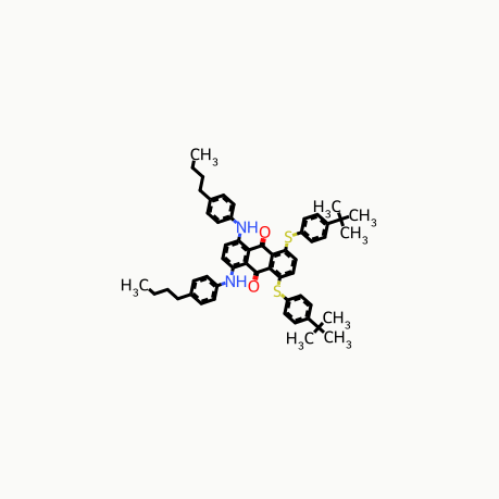 CCCCc1ccc(Nc2ccc(Nc3ccc(CCCC)cc3)c3c2C(=O)c2c(Sc4ccc(C(C)(C)C)cc4)ccc(Sc4ccc(C(C)(C)C)cc4)c2C3=O)cc1